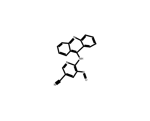 N#Cc1cnc(Nc2c3ccccc3nc3ccccc23)c(N=O)c1